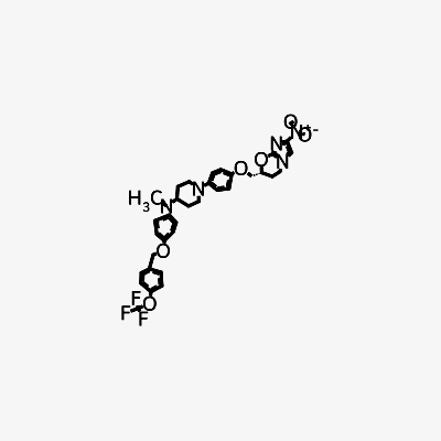 CN(c1ccc(OCc2ccc(OC(F)(F)F)cc2)cc1)C1CCN(c2ccc(OC[C@H]3CCn4cc([N+](=O)[O-])nc4O3)cc2)CC1